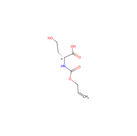 C=CCOC(=O)N[C@H](CCO)C(=O)O